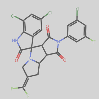 O=C1C2C3CC(=C(F)F)CN3C3(C(=O)Nc4c(Cl)cc(Cl)cc43)C2C(=O)N1c1cc(F)cc(Cl)c1